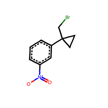 O=[N+]([O-])c1cccc(C2(CBr)CC2)c1